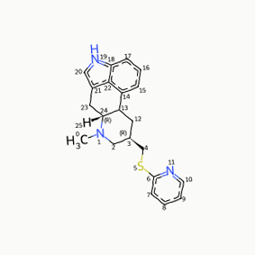 CN1C[C@H](CSc2ccccn2)CC2c3cccc4[nH]cc(c34)C[C@H]21